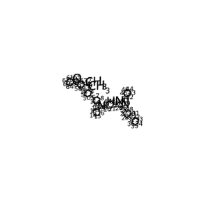 CC1(C)c2cc(-c3ccc4c(c3)C3=CC=CCC3N4C3=CCC(C4C=C(C5C=CC6=C(Cc7ccccc76)C5)N=C(c5ccccc5)N4)CC3)ccc2-c2cc3c(cc21)oc1ccccc13